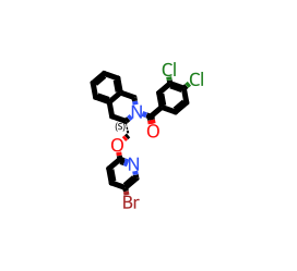 O=C(c1ccc(Cl)c(Cl)c1)N1Cc2ccccc2C[C@H]1COc1ccc(Br)cn1